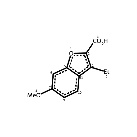 CCc1c(C(=O)O)oc2cc(OC)ccc12